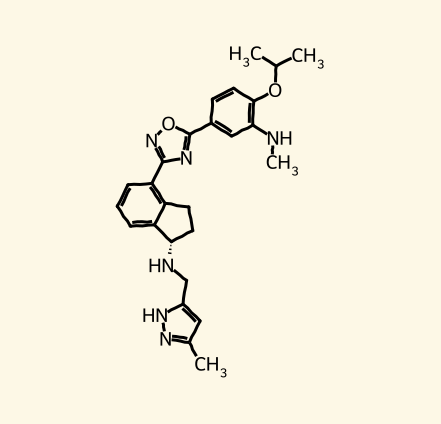 CNc1cc(-c2nc(-c3cccc4c3CC[C@@H]4NCc3cc(C)n[nH]3)no2)ccc1OC(C)C